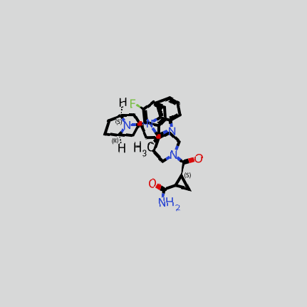 Cc1nc2ccccc2n1[C@H]1C[C@H]2CC[C@@H](C1)N2CCC1(c2cccc(F)c2)CCN(C(=O)[C@H]2CC2C(N)=O)CC1